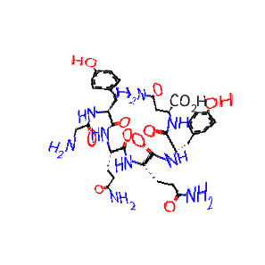 NCC(=O)N[C@@H](Cc1ccc(O)cc1)C(=O)N[C@@H](CCC(N)=O)C(=O)N[C@@H](CCC(N)=O)C(=O)N[C@@H](Cc1ccc(O)cc1)C(=O)N[C@@H](CC(N)=O)C(=O)O